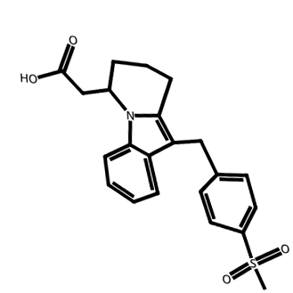 CS(=O)(=O)c1ccc(Cc2c3n(c4ccccc24)C(CC(=O)O)CCC3)cc1